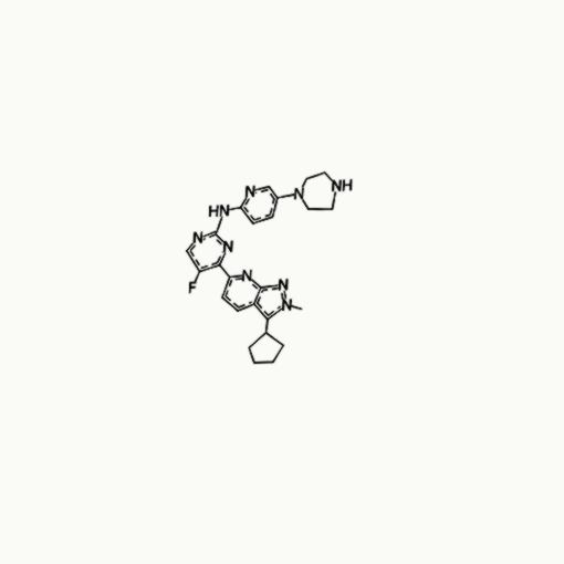 Cn1nc2nc(-c3nc(Nc4ccc(N5CCNCC5)cn4)ncc3F)ccc2c1C1CCCC1